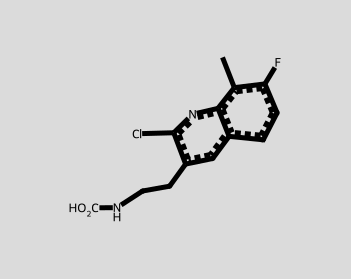 Cc1c(F)ccc2cc(CCNC(=O)O)c(Cl)nc12